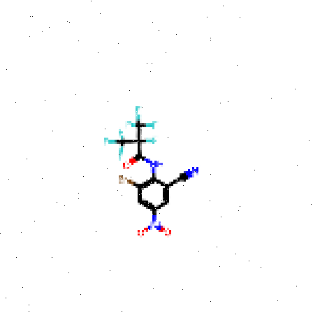 N#Cc1cc([N+](=O)[O-])cc(Br)c1NC(=O)C(F)(C(F)(F)F)C(F)(F)F